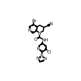 N#CC1Cc2c(Br)cncc2N(C(=O)Nc2cnc(-n3nccn3)c(Cl)c2)C1